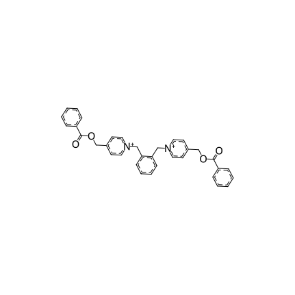 O=C(OCc1cc[n+](Cc2ccccc2C[n+]2ccc(COC(=O)c3ccccc3)cc2)cc1)c1ccccc1